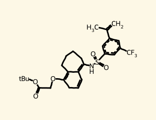 C=C(C)c1cc(C(F)(F)F)cc(S(=O)(=O)NC2=C3C=CCC(OCC(=O)OC(C)(C)C)=C3CCCC2)c1